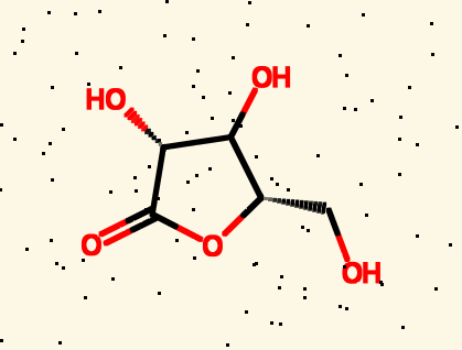 O=C1O[C@@H](CO)C(O)[C@H]1O